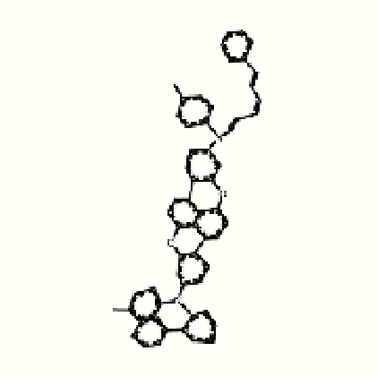 Cc1ccc(N(/C=C/C=C\C=C\c2ccccc2)c2ccc3c(c2)Oc2ccc4c5c(ccc-3c25)Oc2cc(N(c3ccc(C)cc3)c3ccccc3-c3ccccc3)ccc2-4)cc1